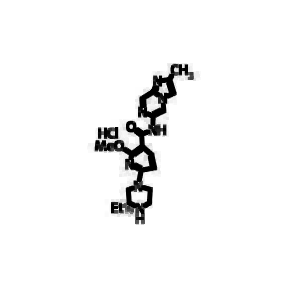 CC[C@@H]1CN(c2ccc(C(=O)Nc3cn4cc(C)nc4cn3)c(OC)n2)CCN1.Cl